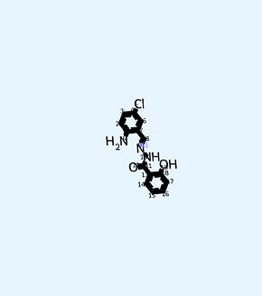 Nc1ccc(Cl)cc1/C=N/NC(=O)c1ccccc1O